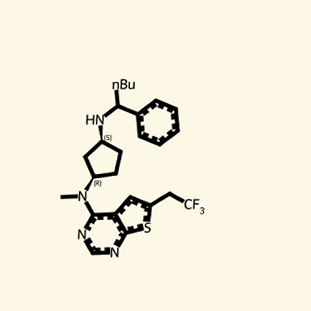 CCCCC(N[C@H]1CC[C@@H](N(C)c2ncnc3sc(CC(F)(F)F)cc23)C1)c1ccccc1